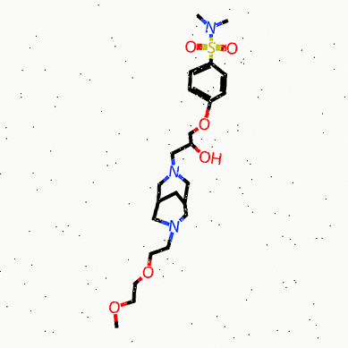 COCCOCCN1CC2CC(C1)CN(CC(O)COc1ccc(S(=O)(=O)N(C)C)cc1)C2